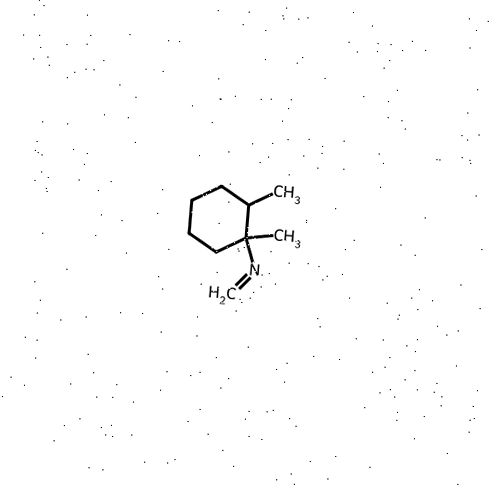 C=NC1(C)CCCCC1C